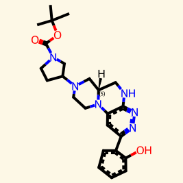 CC(C)(C)OC(=O)N1CCC(N2CCN3c4cc(-c5ccccc5O)nnc4NC[C@H]3C2)C1